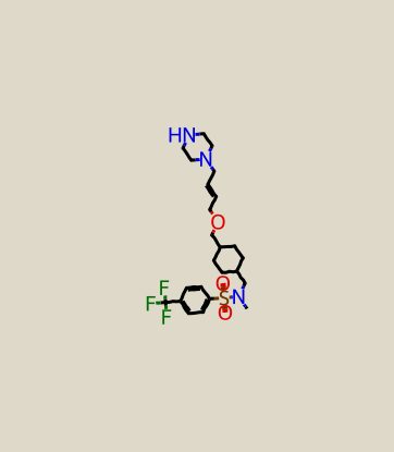 CN(CC1CCC(COC/C=C/CN2CCNCC2)CC1)S(=O)(=O)c1ccc(C(F)(F)F)cc1